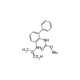 C[C@@H](Nc1cccc(-c2ccccc2)c1NC(=O)OC(C)(C)C)C(=O)O